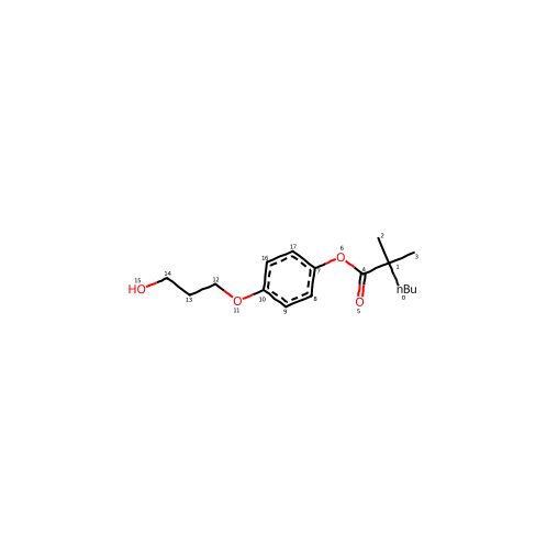 CCCCC(C)(C)C(=O)Oc1ccc(OCCCO)cc1